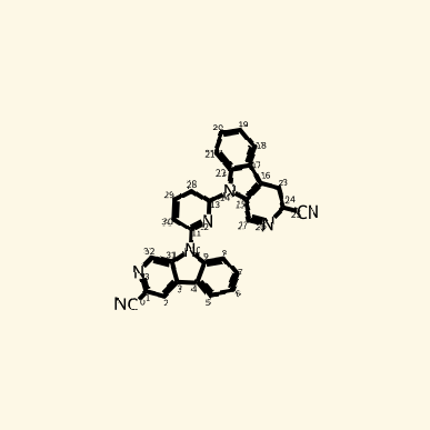 N#Cc1cc2c3ccccc3n(C3=NC(n4c5c(c6ccccc64)CC(C#N)N=C5)CC=C3)c2cn1